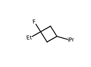 CCC1(F)CC(C(C)C)C1